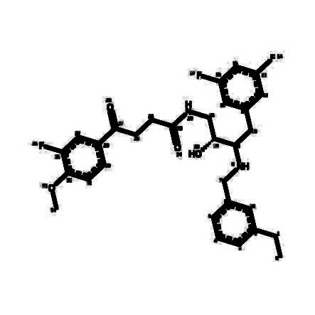 CCc1cccc(CNC(Cc2cc(F)cc(F)c2)[C@H](O)CNC(=O)CCC(=O)c2ccc(OC)c(F)c2)c1